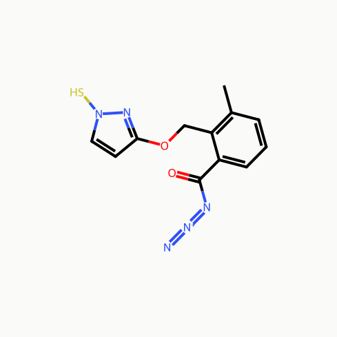 Cc1cccc(C(=O)N=[N+]=[N-])c1COc1ccn(S)n1